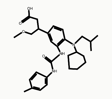 COCC(CC(=O)O)c1ccc(N(CC(C)C)C2CCCCC2)c(NC(=O)Nc2ccc(C)cc2)c1